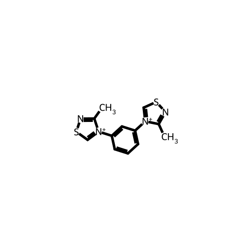 Cc1nsc[n+]1-c1cccc(-[n+]2csnc2C)c1